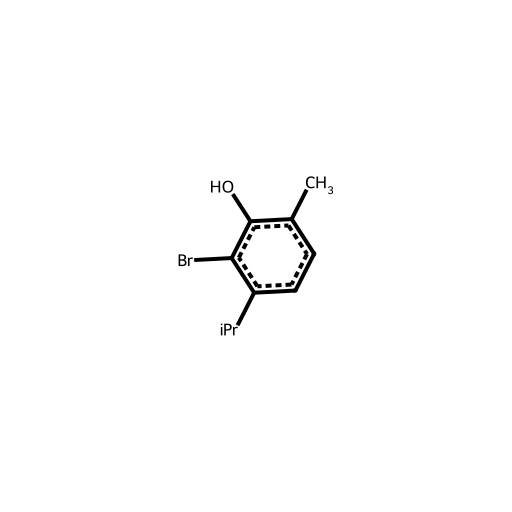 Cc1ccc(C(C)C)c(Br)c1O